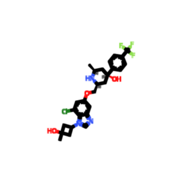 C[C@H]1C[C@@](O)(c2ccc(C(F)(F)F)cc2)C[C@@H](COc2cc(Cl)c3c(c2)ncn3C2CC(C)(O)C2)N1